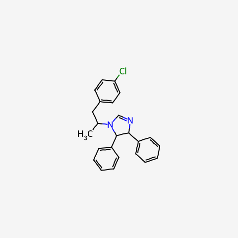 CC(Cc1ccc(Cl)cc1)N1C=NC(c2ccccc2)C1c1ccccc1